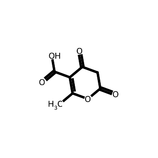 CC1=C(C(=O)O)C(=O)CC(=O)O1